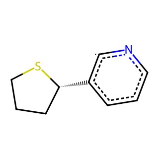 [c]1ncccc1[C@@H]1CCCS1